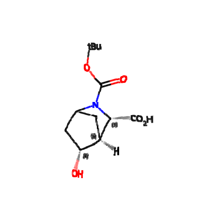 CC(C)(C)OC(=O)N1C2C[C@H]([C@H](O)C2)[C@H]1C(=O)O